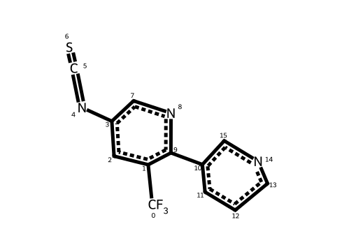 FC(F)(F)c1cc(N=C=S)cnc1-c1cccnc1